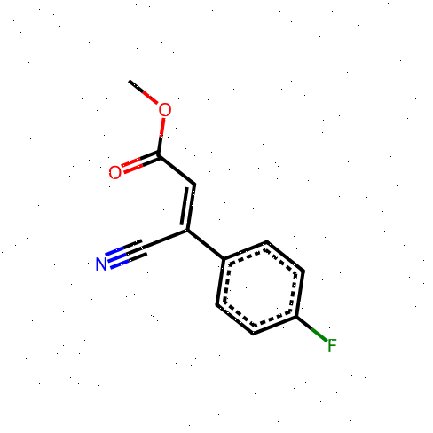 COC(=O)/C=C(\C#N)c1ccc(F)cc1